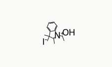 CC1=[N+](C(C)O)c2ccccc2C1(C)C.[I-]